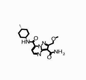 COCc1nn2c(C(=O)N[C@H]3CC[C@@H](C)CC3)ccnc2c1C(N)=O